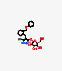 CC(C)c1[nH]nc(O[C@@H]2O[C@H](CO)[C@@H](O)[C@H](O)[C@H]2O)c1Cc1ccccc1COc1ccccc1